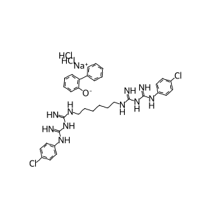 Cl.Cl.N=C(NCCCCCCNC(=N)NC(=N)Nc1ccc(Cl)cc1)NC(=N)Nc1ccc(Cl)cc1.[Na+].[O-]c1ccccc1-c1ccccc1